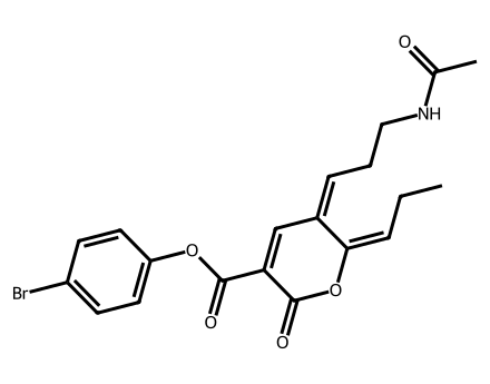 CC/C=c1/oc(=O)c(C(=O)Oc2ccc(Br)cc2)c/c1=C/CCNC(C)=O